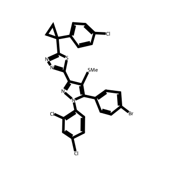 CSc1c(-c2nnc(C3(c4ccc(Cl)cc4)CC3)s2)nn(-c2ccc(Cl)cc2Cl)c1-c1ccc(Br)cc1